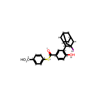 O=C(O)c1ccc(SC(=O)c2ccc(O)c(C3C4CC5CC(C4)CC3(I)C5)c2)cc1